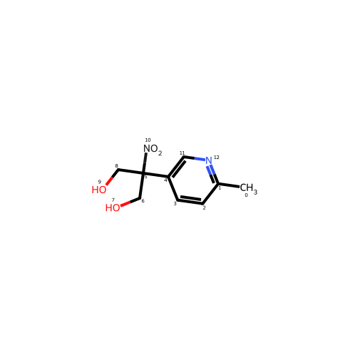 Cc1ccc(C(CO)(CO)[N+](=O)[O-])cn1